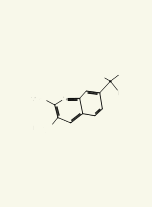 CCOC(=O)c1cc2ccc(C(C)(F)F)cc2nc1OC